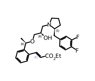 CCOC(=O)/C=C/c1ccccc1[C@@H](C)OC[C@H](O)CN1CCC[C@H]1Cc1ccc(F)c(F)c1